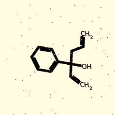 C=CCC(O)(C=C)c1ccccc1